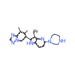 Cc1c(-c2[nH]c3ccc(N4CCCNCC4)nc3c2C(C)C)cn2ncnc2c1C